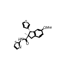 COc1ccc2c(c1)[C@@H](c1ccsc1)[C@](C)(C(=O)Nc1nccs1)C2